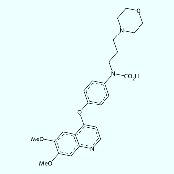 COc1cc2nccc(Oc3ccc(N(CCCN4CCOCC4)C(=O)O)cc3)c2cc1OC